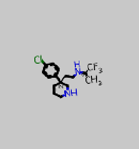 C[C@@H](NCC[C@]1(c2ccc(Cl)cc2)CCCNC1)C(F)(F)F